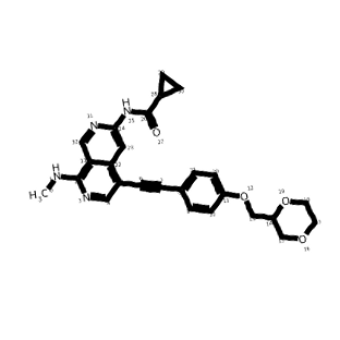 CNc1ncc(C#Cc2ccc(OCC3COCCO3)cc2)c2cc(NC(=O)C3CC3)ncc12